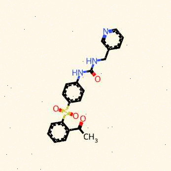 CC(=O)c1ccccc1S(=O)(=O)c1ccc(NC(=O)NCc2cccnc2)cc1